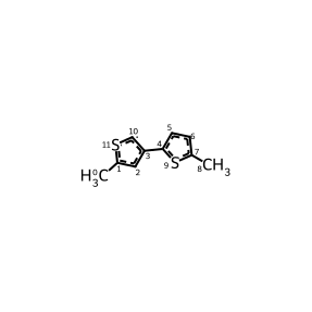 Cc1cc(-c2ccc(C)s2)[c]s1